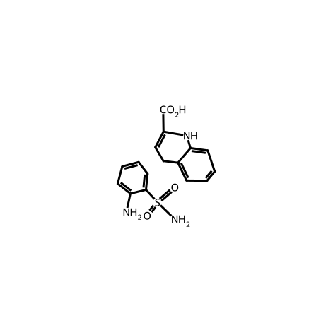 Nc1ccccc1S(N)(=O)=O.O=C(O)C1=CCc2ccccc2N1